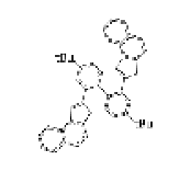 CC(C)(C)c1ccc(-c2ccc(C(C)(C)C)cc2C2=Cc3c(ccc4ccccc34)C2)c(C2=Cc3c(ccc4ccccc34)C2)c1